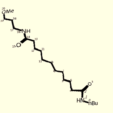 CCCCNC(=O)CCCCCCCCCCC(=O)NCCCOC